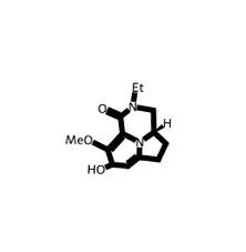 CCN1C[C@@H]2CCC3=CC(O)C(OC)=C(C1=O)N32